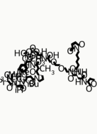 CC[C@H](C)[C@@H]([C@@H](CC(=O)N1CCC[C@H]1[C@H](OC)[C@@H](C)C(=O)N[C@H](C)[C@@H](OP(=O)(O)OP(=O)(O)OCCNC(O)COCCOCCNC(=O)[C@H](CC(=O)N[C@H]1CCOC1=O)NC(=O)CCCCCN1C(=O)C=CC1=O)c1ccccc1)OC)N(C)C(=O)[C@@H](NC(=O)[C@H](C(C)C)N(C)C)C(C)C